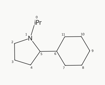 CC(C)N1CCCC1C1CCCCC1